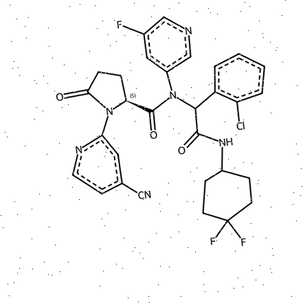 N#Cc1ccnc(N2C(=O)CC[C@H]2C(=O)N(c2cncc(F)c2)C(C(=O)NC2CCC(F)(F)CC2)c2ccccc2Cl)c1